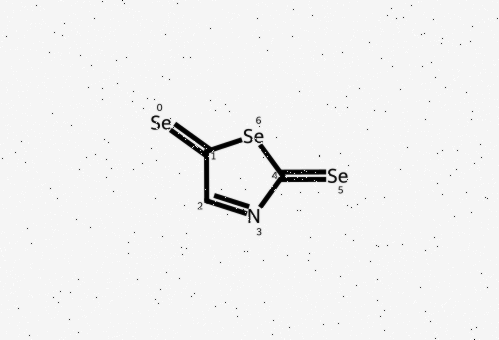 [Se]=C1C=NC(=[Se])[Se]1